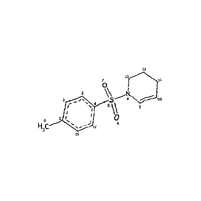 Cc1ccc(S(=O)(=O)N2C=CCCC2)cc1